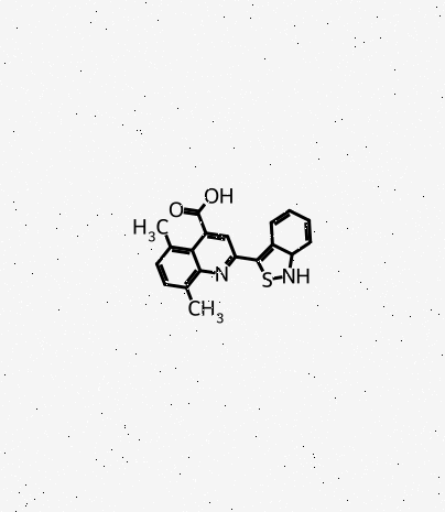 Cc1ccc(C)c2c(C(=O)O)cc(C3=C4C=CC=CC4NS3)nc12